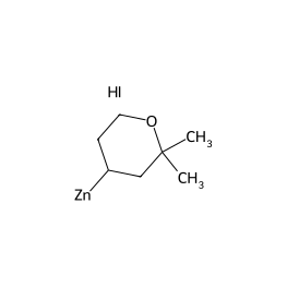 CC1(C)C[CH]([Zn])CCO1.I